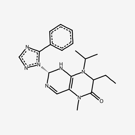 CCC1C(=O)N(C)C2=C(N[C@@H](n3ncnc3-c3ccccc3)N=C2)N1C(C)C